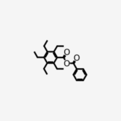 CCc1c(CC)c(CC)c(C(=O)OC(=O)c2ccccc2)c(CC)c1CC